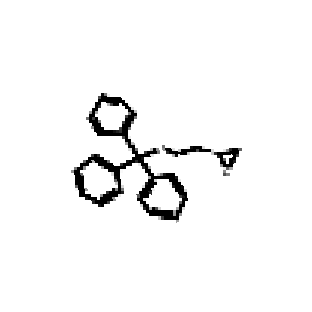 c1ccc(C(OCC[C@H]2CO2)(c2ccccc2)c2ccccc2)cc1